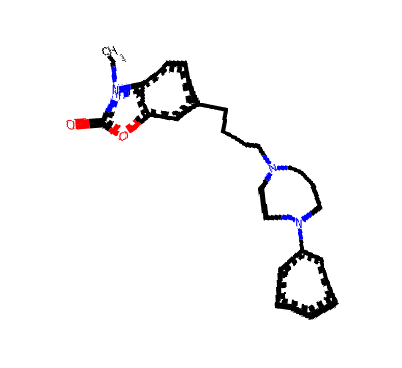 Cn1c(=O)oc2cc(CCCN3CCN(c4ccccc4)CC3)ccc21